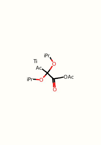 CC(=O)OC(=O)C(OC(C)C)(OC(C)C)C(C)=O.[Ti]